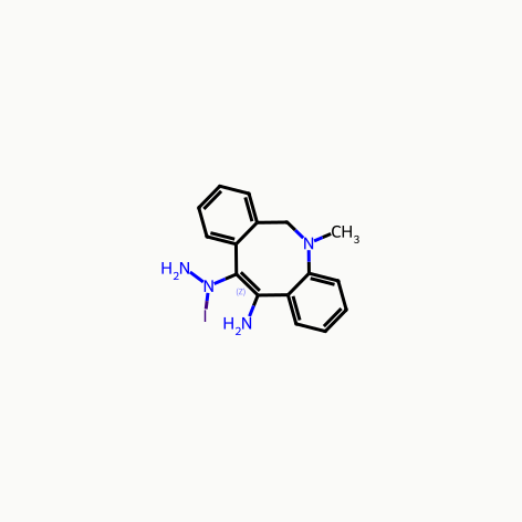 CN1Cc2ccccc2/C(N(N)I)=C(/N)c2ccccc21